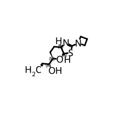 C=C[C@@H](O)[C@H]1CC[C@H]2N=C(N3CCC3)S[C@H]2O1